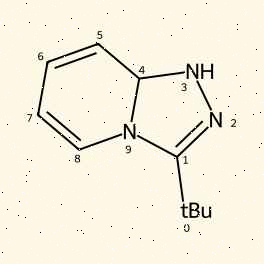 CC(C)(C)C1=NNC2C=CC=CN12